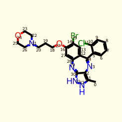 CC1=C2N=C(c3ccccc3Cl)c3cc(Br)c(OCCCN4CCOCC4)cc3N=C2NN1